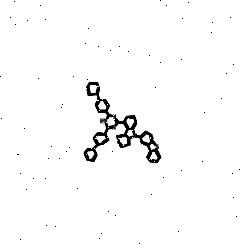 c1ccc(-c2ccc(C3=NC(c4cccc5c4c4ccccc4n5-c4ccc5sc6ccccc6c5c4)=NC(c4ccc(-c5ccccc5)cc4)N3)cc2)cc1